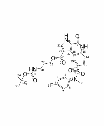 CN(c1ccc(F)cc1)S(=O)(=O)c1ccc2[nH]c(=O)c3[nH]cc(C(=O)OCCCNC(=O)OC(C)(C)C)c3c2c1